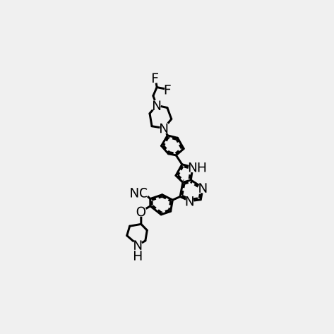 N#Cc1cc(-c2ncnc3[nH]c(-c4ccc(N5CCN(CC(F)F)CC5)cc4)cc23)ccc1OC1CCNCC1